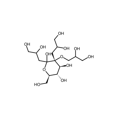 OCC(O)CO[C@]1(CC(O)CO)[C@@H](O)[C@H](O)[C@@H](CO)OC1(O)CC(O)CO